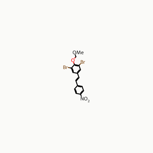 COCOc1c(Br)cc(C=Cc2ccc([N+](=O)[O-])cc2)cc1Br